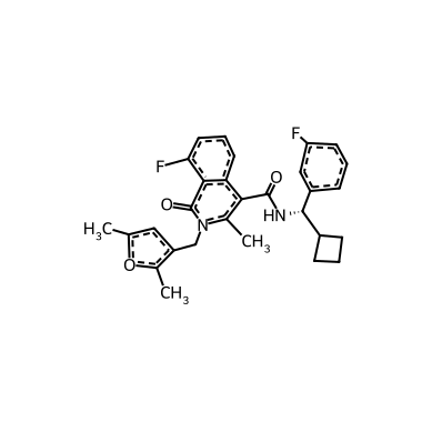 Cc1cc(Cn2c(C)c(C(=O)N[C@H](c3cccc(F)c3)C3CCC3)c3cccc(F)c3c2=O)c(C)o1